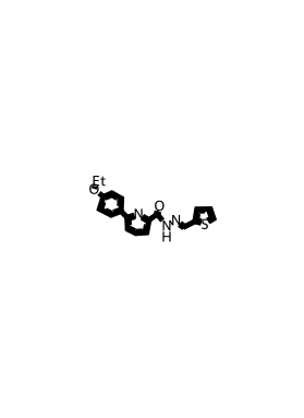 CCOc1ccc(-c2cccc(C(=O)N/N=C/c3cccs3)n2)cc1